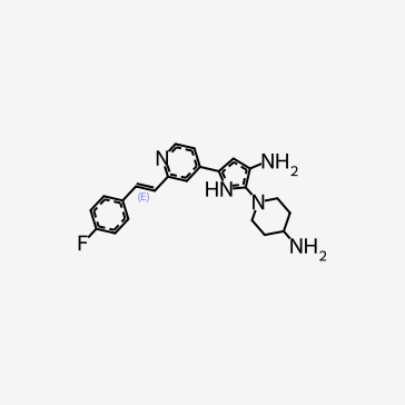 Nc1cc(-c2ccnc(/C=C/c3ccc(F)cc3)c2)[nH]c1N1CCC(N)CC1